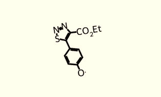 CCOC(=O)c1nnsc1-c1ccc([O])cc1